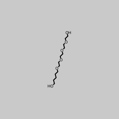 OCCCCCOCCOCCOCCOCCO